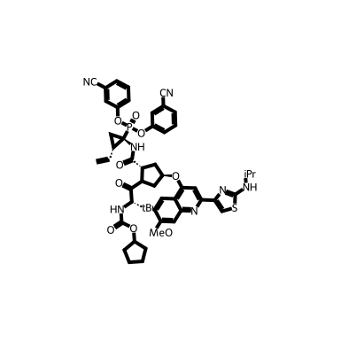 C=C[C@@H]1C[C@]1(NC(=O)[C@@H]1C[C@@H](Oc2cc(-c3csc(NC(C)C)n3)nc3cc(OC)ccc23)CC1C(=O)[C@@H](NC(=O)OC1CCCC1)C(C)(C)C)P(=O)(Oc1cccc(C#N)c1)Oc1cccc(C#N)c1